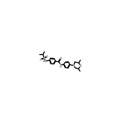 CC1CN(c2ccc(NC(=O)c3ccc(NS(=O)(=O)C(C)C)cc3)cc2)CC(C)O1